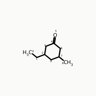 CCC1CC(=O)CC(C)C1